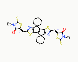 CCN1C(=O)/C(=C/c2nc3c(s2)C2=C(c4sc(/C=C5\SC(=S)N(CC)C5=O)nc4C24CCCCC4)C32CCCCC2)SC1=S